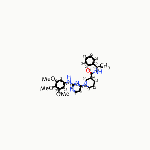 COc1cc(Nc2nccc(N3CCCC(C(=O)N[C@H](C)c4ccccc4)C3)n2)cc(OC)c1OC